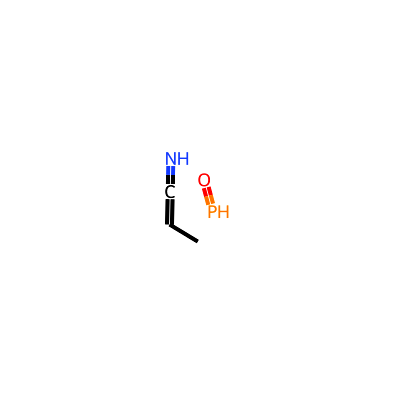 CC=C=N.O=P